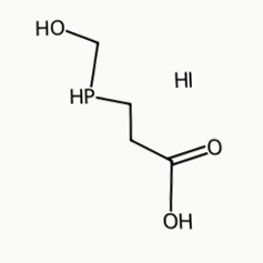 I.O=C(O)CCPCO